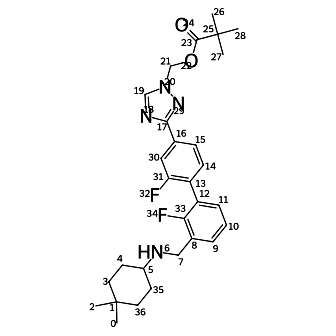 CC1(C)CCC(NCc2cccc(-c3ccc(-c4ncn(COC(=O)C(C)(C)C)n4)cc3F)c2F)CC1